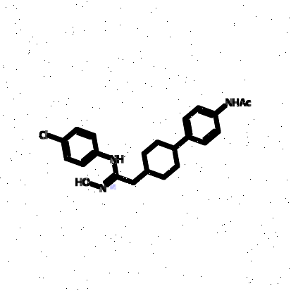 CC(=O)Nc1ccc(C2CCC(C/C(=N/O)Nc3ccc(Cl)cc3)CC2)cc1